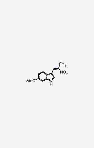 COc1ccc2c(/C=C(/C)[N+](=O)[O-])c[nH]c2c1